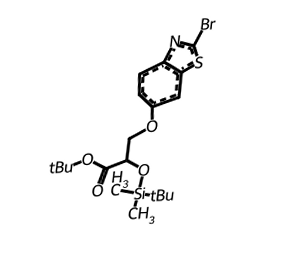 CC(C)(C)OC(=O)C(COc1ccc2nc(Br)sc2c1)O[Si](C)(C)C(C)(C)C